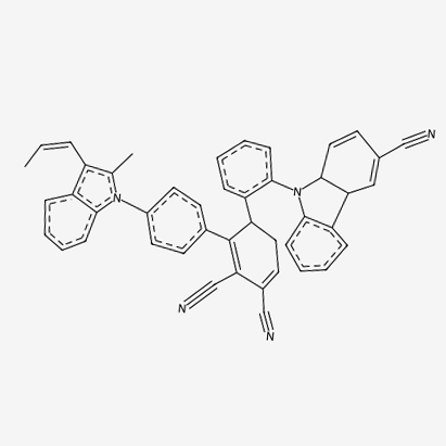 C/C=C\c1c(C)n(-c2ccc(C3=C(C#N)C(C#N)=CCC3c3ccccc3N3c4ccccc4C4C=C(C#N)C=CC43)cc2)c2ccccc12